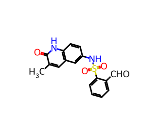 Cc1cc2cc(NS(=O)(=O)c3ccccc3C=O)ccc2[nH]c1=O